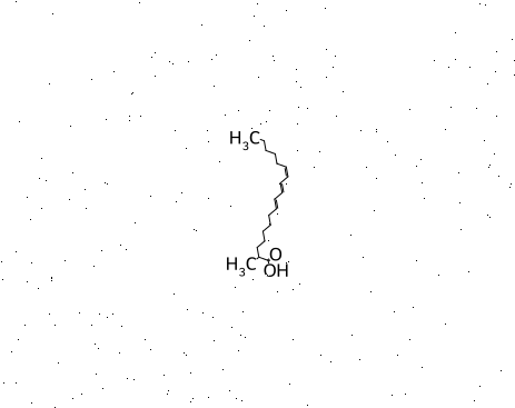 CCCCC\C=C/C=C/C=C/CCCCCC(C)C(=O)O